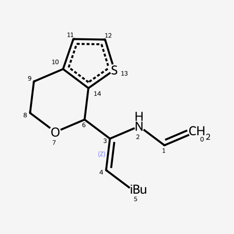 C=CN/C(=C\C(C)CC)C1OCCc2ccsc21